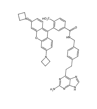 Nc1nc(CCc2ccc(CNC(=O)c3ccc(C(=O)O)c(-c4c5ccc(=[N+]6CCC6)cc-5oc5cc(N6CCC6)ccc45)c3)cc2)c2nc[nH]c2n1